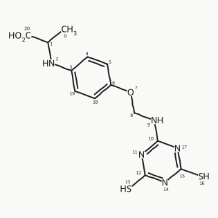 CC(Nc1ccc(OCNc2nc(S)nc(S)n2)cc1)C(=O)O